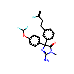 C=C(F)CCc1cccc(C2(c3ccc(OC(F)F)cc3)N=C(N)N(C)C2=O)c1